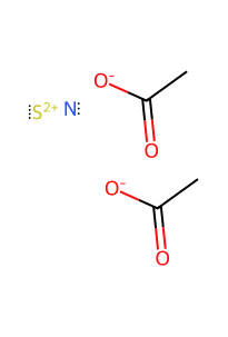 CC(=O)[O-].CC(=O)[O-].[N].[S+2]